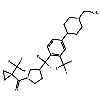 CCN1CCC(c2ccc(C(F)(F)C3CCN(C(=O)C4(C(F)(F)F)CC4)C3)c(C(F)(F)F)c2)CC1